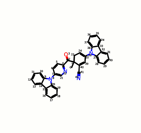 CC1(C(=O)c2ccc(-n3c4ccccc4c4ccccc43)cn2)CC=C(n2c3ccccc3c3ccccc32)C=C1C#N